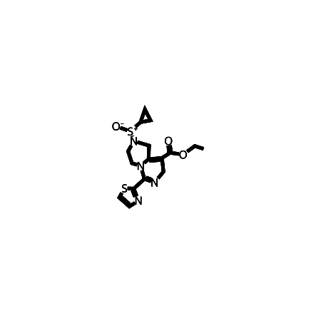 CCOC(=O)C1=C2CN([S+]([O-])C3CC3)CCN2C(c2nccs2)=NC1